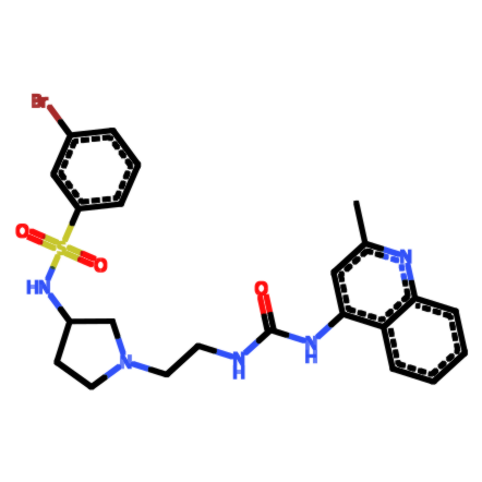 Cc1cc(NC(=O)NCCN2CCC(NS(=O)(=O)c3cccc(Br)c3)C2)c2ccccc2n1